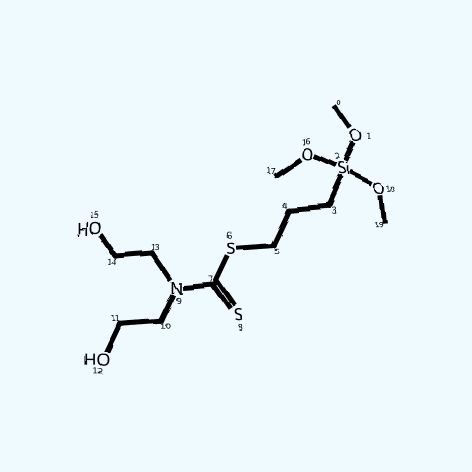 CO[Si](CCCSC(=S)N(CCO)CCO)(OC)OC